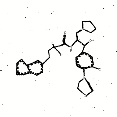 O=C(NC(CN1CCCC1)C(O)c1ccc(N2CCOCC2)c(Cl)c1)C(F)(F)CCc1ccc2ccccc2c1